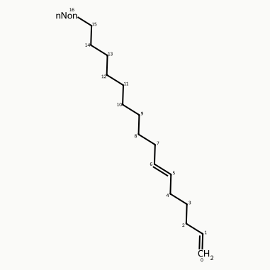 C=CCCCC=CCCCCCCCCCCCCCCCCCC